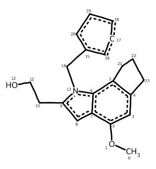 COc1cc2c(c3c1cc(CCO)n3Cc1ccccc1)CCC2